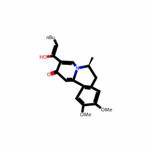 CCCCC=C(O)c1cn2c(cc1=O)-c1cc(OC)c(OC)cc1C[C@@H]2C